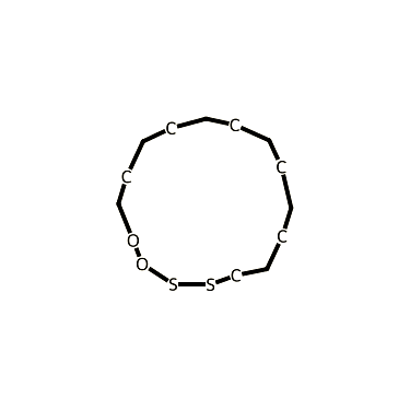 C1CCCCCCSSOOCCCCC1